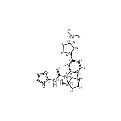 C=C(Nc1nccs1)N1c2nc(N3CC[C@H](N(C)C)C3)ccc2N2CC[C@H]1C2